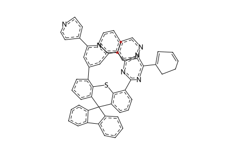 C1=CCCC(c2nc(-c3ccccc3)nc(-c3cccc4c3Sc3c(-c5cc(-c6ccncc6)nc(-c6ccncc6)c5)cccc3C43c4ccccc4-c4ccccc43)n2)=C1